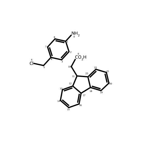 Nc1ccc(CCl)cc1.O=C(O)CC1c2ccccc2-c2ccccc21